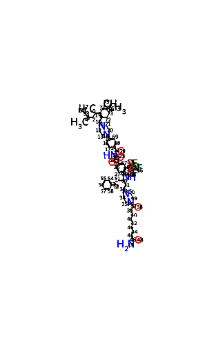 CC(CC(C)C1CC1)C1=C(CN2CCN(c3ccc(C(=O)NS(=O)(=O)c4ccc(NC(CCN5CCN(C(=O)CCCCCCCC(N)=O)CC5)CSc5ccccc5)c(S(=O)(=O)C(F)(F)F)c4)cc3)CC2)CCC(C)(C)C1